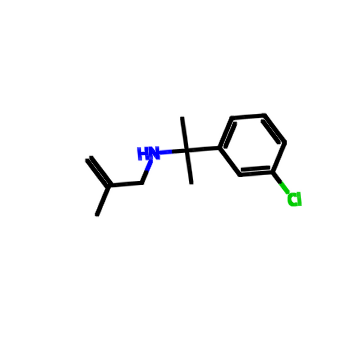 C=C(C)CNC(C)(C)c1cccc(Cl)c1